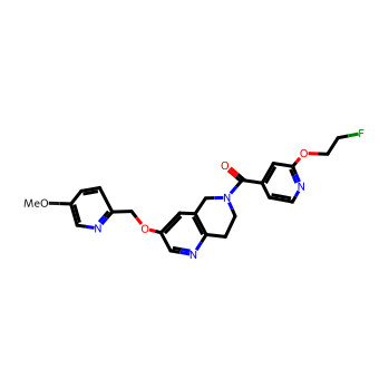 COc1ccc(COc2cnc3c(c2)CN(C(=O)c2ccnc(OCCF)c2)CC3)nc1